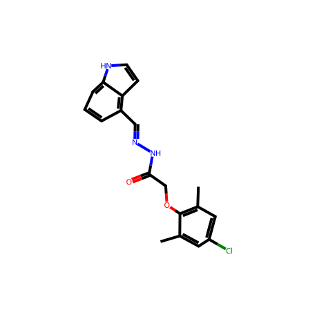 Cc1cc(Cl)cc(C)c1OCC(=O)NN=Cc1cccc2[nH]ccc12